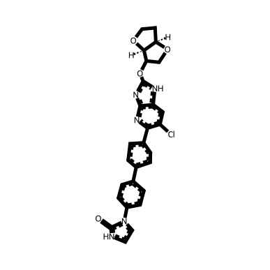 O=c1[nH]ccn1-c1ccc(-c2ccc(-c3nc4nc(OC5CO[C@@H]6CCO[C@H]56)[nH]c4cc3Cl)cc2)cc1